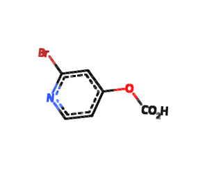 O=C(O)Oc1ccnc(Br)c1